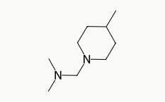 CC1CCN(CN(C)C)CC1